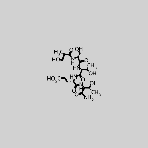 C[C@@H](CO)C(=O)N[C@@H](CO)C(=O)N[C@H](C(=O)N[C@@H](CCC(=O)O)C(=O)N[C@H](C(N)=O)[C@@H](C)O)[C@@H](C)O